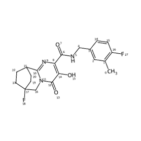 Cc1cc(CNC(=O)c2nc3n(c(=O)c2O)CC2(F)CC[C]3CC2)ccc1F